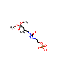 CO[Si](CCCNC(=O)NCCOS(=O)(=O)O)(OC)OC